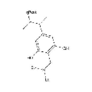 CCCCCC(C)C(C)c1cc(O)c(CN(CC)CC)c(O)c1